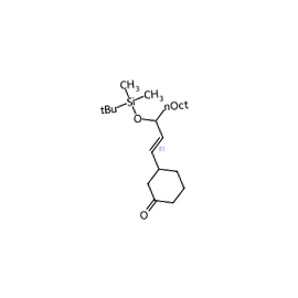 CCCCCCCCC(/C=C/C1CCCC(=O)C1)O[Si](C)(C)C(C)(C)C